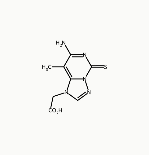 Cc1c(N)nc(=S)n2ncn(CC(=O)O)c12